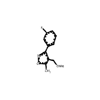 COCc1c(-c2cccc(F)c2)noc1C